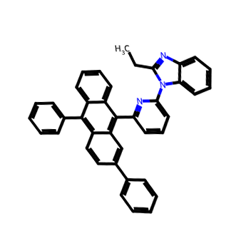 CCc1nc2ccccc2n1-c1cccc(-c2c3ccccc3c(-c3ccccc3)c3ccc(-c4ccccc4)cc23)n1